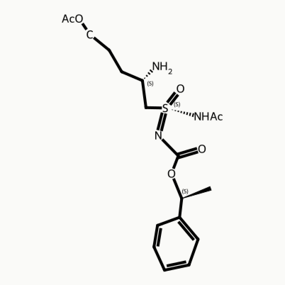 CC(=O)N[S@@](=O)(C[C@@H](N)CCCOC(C)=O)=NC(=O)O[C@@H](C)c1ccccc1